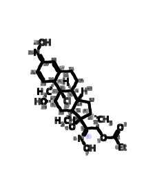 CCC(=O)OC/C(=N\O)[C@@]1(O)[C@@H](C)C[C@H]2[C@@H]3CCC4=CC(=NO)C=C[C@]4(C)[C@@]3(Cl)[C@@H](O)C[C@@]21C